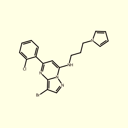 Clc1ccccc1-c1cc(NCCCn2cccc2)n2ncc(Br)c2n1